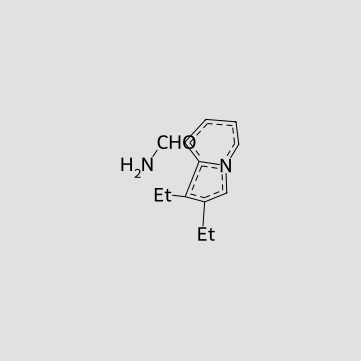 CCc1cn2ccccc2c1CC.NC=O